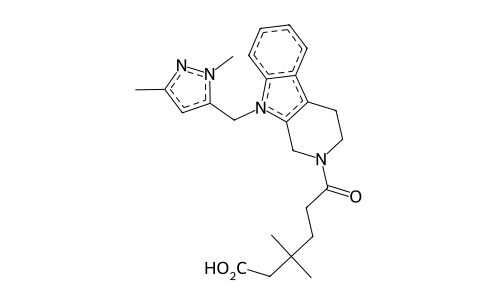 Cc1cc(Cn2c3c(c4ccccc42)CCN(C(=O)CCC(C)(C)CC(=O)O)C3)n(C)n1